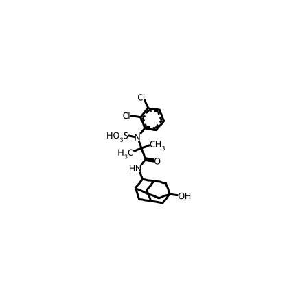 CC(C)(C(=O)NC1C2CC3CC1CC(O)(C3)C2)N(c1cccc(Cl)c1Cl)S(=O)(=O)O